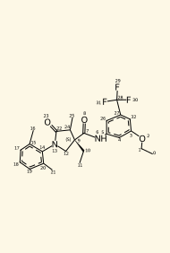 CCOc1cc(NC(=O)[C@]2(CC)CN(c3c(C)cccc3C)C(=O)C2C)cc(C(F)(F)F)c1